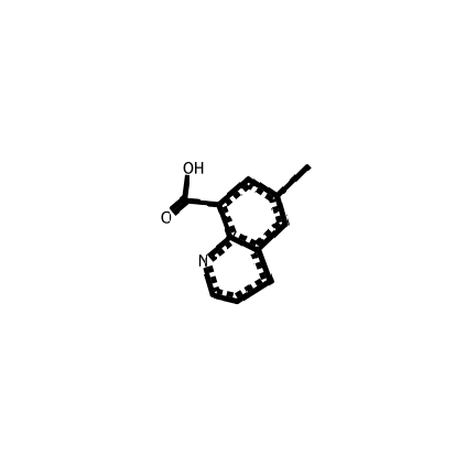 Cc1cc(C(=O)O)c2ncccc2c1